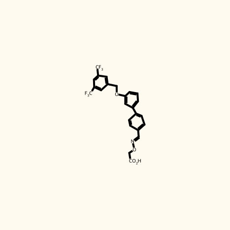 O=C(O)CO/N=C/c1ccc(-c2cccc(OCc3cc(C(F)(F)F)cc(C(F)(F)F)c3)c2)cc1